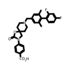 Cc1cc(CN2CCC3(CC2)CN(c2ccc(C(=O)O)cc2)C(=O)O3)cc(C)c1-c1ccc(F)cc1F